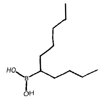 CCCCCC(CCCC)B(O)O